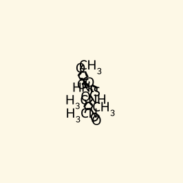 COc1ccc(S(=O)(=O)Nc2ccsc2C(=O)Nc2c(C)cc(C)c(N3CCOCC3)c2C)cc1